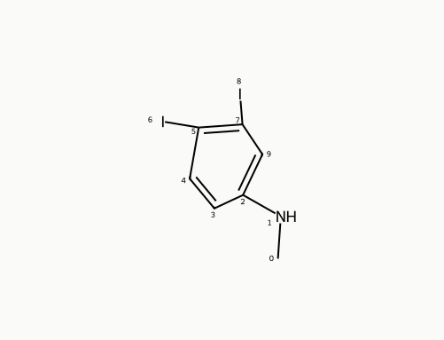 CNc1ccc(I)c(I)c1